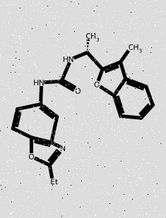 CCc1nc2cc(NC(=O)N[C@H](C)c3oc4ccccc4c3C)ccc2o1